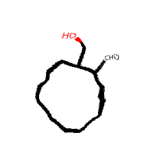 O=CC1CCCCCCCCCCC1CO